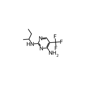 CCC(C)Nc1ncc(C(F)(F)F)c(N)n1